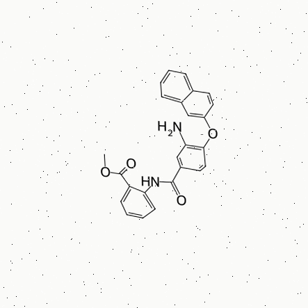 COC(=O)c1ccccc1NC(=O)c1ccc(Oc2ccc3ccccc3c2)c(N)c1